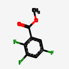 COC(=O)c1cc(F)cc(F)c1F